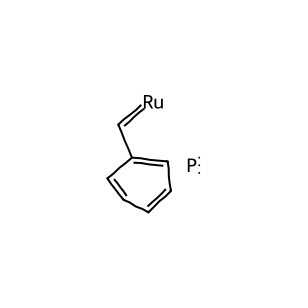 [P].[Ru]=[CH]c1ccccc1